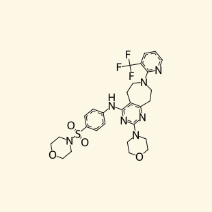 O=S(=O)(c1ccc(Nc2nc(N3CCOCC3)nc3c2CCN(c2ncccc2C(F)(F)F)CC3)cc1)N1CCOCC1